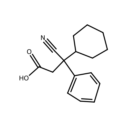 N#CC(CC(=O)O)(c1ccccc1)C1CCCCC1